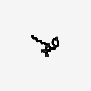 CCCCCCCCOC(CN1CCOCC1)CS(=O)(=O)O